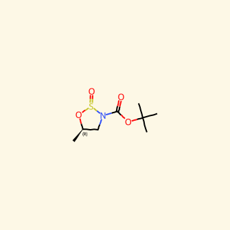 C[C@@H]1CN(C(=O)OC(C)(C)C)S(=O)O1